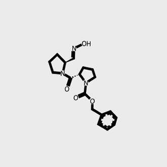 O=C([C@@H]1CCCN1C(=O)OCc1ccccc1)N1CCC[C@H]1/C=N/O